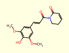 COc1cc(C=CC(=O)N2CCC=CC2=O)cc(OC)c1O